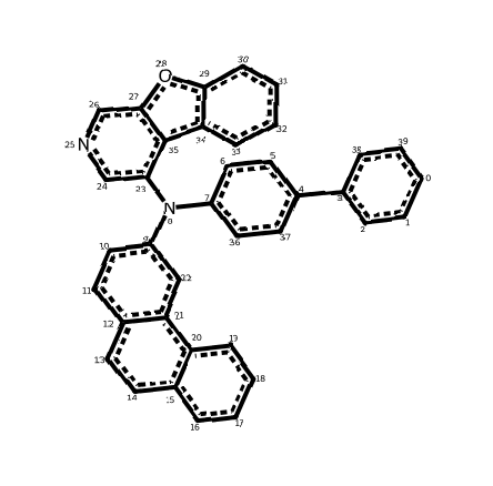 c1ccc(-c2ccc(N(c3ccc4ccc5ccccc5c4c3)c3cncc4oc5ccccc5c34)cc2)cc1